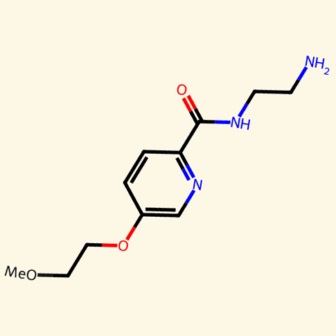 COCCOc1ccc(C(=O)NCCN)nc1